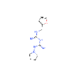 N=C(NCc1ccco1)NC(=N)NN1CCCC1